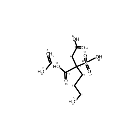 C=CC.CCCCC(CC(=O)O)(C(=O)O)S(=O)(=O)O